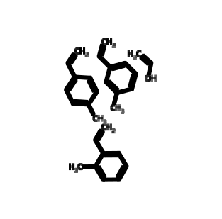 C=CO.C=Cc1ccc(C)cc1.C=Cc1cccc(C)c1.C=Cc1ccccc1C